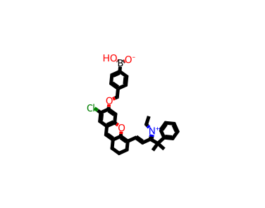 CC[N+]1=C(/C=C/C2=C3Oc4cc(OCc5ccc(B([O-])O)cc5)c(Cl)cc4C=C3CCC2)C(C)(C)c2ccccc21